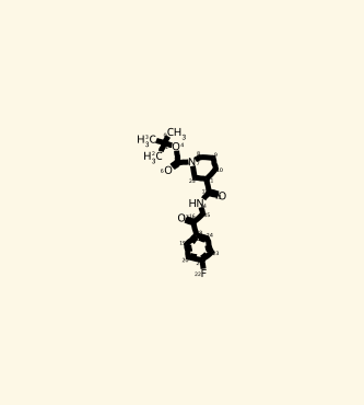 CC(C)(C)OC(=O)N1CCCC(C(=O)NCC(=O)c2ccc(F)cc2)C1